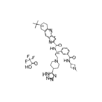 CN1CC(NC(=O)c2cccc([C@@H](CCN3CCC(c4nnn[nH]4)CC3)NC(=O)c3nc4cc5c(nc4s3)CC[C@H](C(C)(C)C)C5)c2)C1.O=C(O)C(F)(F)F